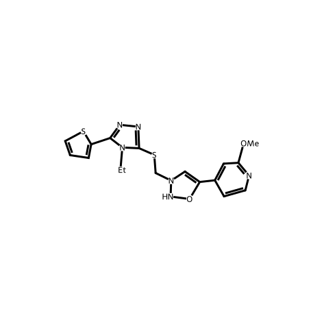 CCn1c(SCN2C=C(c3ccnc(OC)c3)ON2)nnc1-c1cccs1